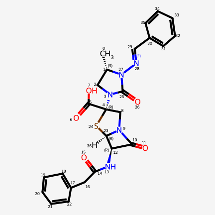 C[C@H]1CN([C@]2(C(=O)O)CN3C(=O)[C@@H](NC(=O)Cc4ccccc4)[C@H]3S2)C(=O)N1/N=C/c1ccccc1